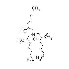 CCCCCC(C)C[N+](C)(CC(C)CCCCC)CC(C)CCCCC.[Cl-]